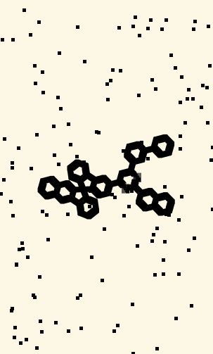 c1ccc(-c2cccc(-c3cc(-c4ccc5c(c4)-c4ccccc4C54c5ccccc5-c5cc6ccccc6cc54)nc(-c4ccc5ccccc5c4)n3)c2)cc1